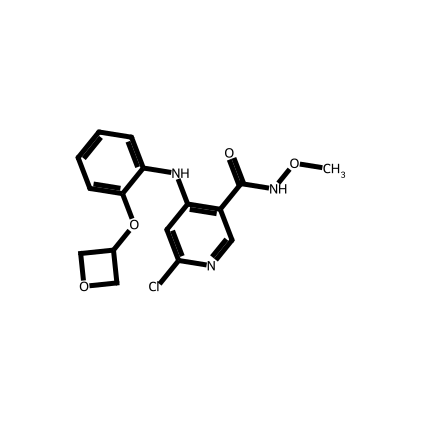 CONC(=O)c1cnc(Cl)cc1Nc1ccccc1OC1COC1